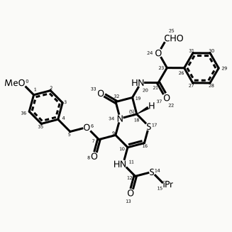 COc1ccc(COC(=O)C2C(NC(=O)SC(C)C)=CS[C@H]3C(NC(=O)C(OC=O)c4ccccc4)C(=O)N23)cc1